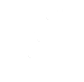 C/C=C\C(=C/C)Nc1ccc2c(c1)C(=O)N(CCCN1CCc3ccccc3C1)CC2